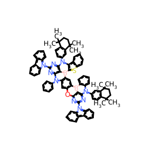 CC1(C)CCC(C)(C)c2cc(N3c4ccccc4B4c5cc6c(cc5Oc5nc(-n7c8ccccc8c8ccccc87)nc3c54)N(c3ccccc3)c3nc(-n4c5ccccc5c5ccccc54)nc4c3B6c3sc5ccccc5c3N4c3ccc4c(c3)C(C)(C)CCC4(C)C)ccc21